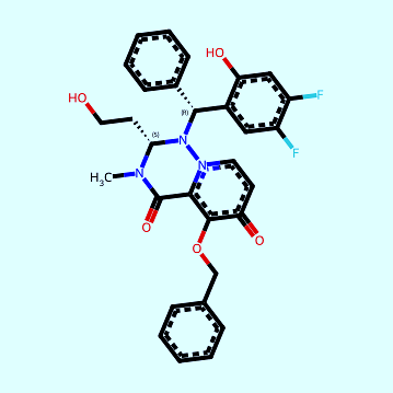 CN1C(=O)c2c(OCc3ccccc3)c(=O)ccn2N([C@H](c2ccccc2)c2cc(F)c(F)cc2O)[C@H]1CCO